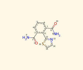 NC(=O)c1cccc(C(N)=O)c1-c1nccs1